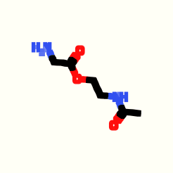 CC(=O)NCCOC(=O)CN